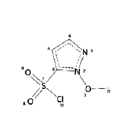 COn1nccc1S(=O)(=O)Cl